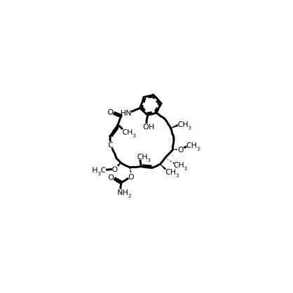 CO[C@H]1C[C@H](C)Cc2cccc(c2O)NC(=O)/C(C)=C/CC[C@H](OC)[C@@H](OC(N)=O)/C(C)=C/[C@H](C)[C@H]1C